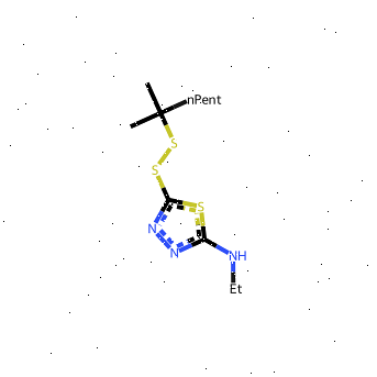 CCCCCC(C)(C)SSc1nnc(NCC)s1